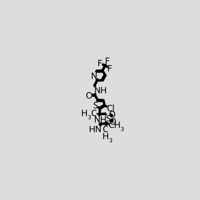 CC1(C)C(=N)N[C@](C)(c2sc(C(=O)NCc3ccc(C(F)(F)F)cn3)cc2Cl)CS1(=O)=O